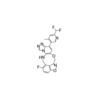 Cc1cc(C(F)F)ncc1-c1cc2c(n3cnnc13)NCc1c(F)ccc3c1[C@H](CO3)CO2